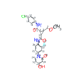 COCC1C(C(=O)Nc2ccc(Cl)cc2)C1C(=O)Nc1ccc(-n2ccc(O)cc2=O)cc1F